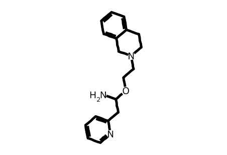 NC(Cc1ccccn1)OCCN1CCc2ccccc2C1